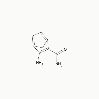 NC(=O)C1=C(N)C2=CC=C1C2